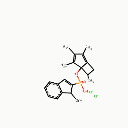 CC1=C(C)C2(OP(=O)(O)C3=Cc4ccccc4[CH]3[Zr+2])C(=C1C)CC2C.[Cl-].[Cl-]